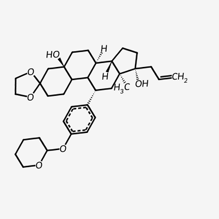 C=CC[C@]1(O)CC[C@H]2[C@@H]3CC[C@@]4(O)CC5(CCC4C3[C@@H](c3ccc(OC4CCCCO4)cc3)C[C@@]21C)OCCO5